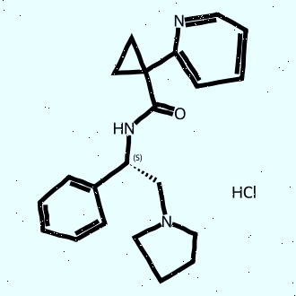 Cl.O=C(N[C@H](CN1CCCC1)c1ccccc1)C1(c2ccccn2)CC1